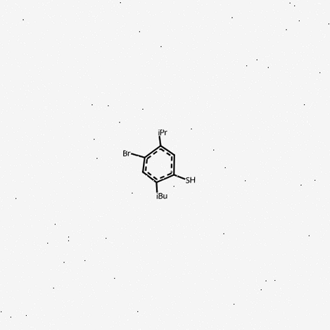 CCC(C)c1cc(Br)c(C(C)C)cc1S